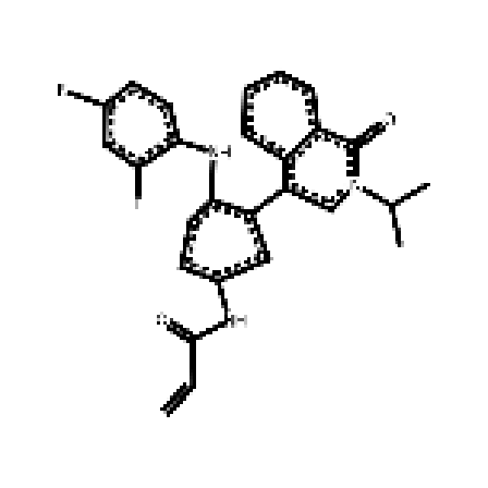 C=CC(=O)Nc1ccc(Nc2ccc(F)cc2F)c(-c2cn(C(C)C)c(=O)c3ccccc23)c1